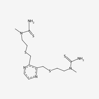 CN(CCSCc1nccnc1CSCCN(C)C(N)=S)C(N)=S